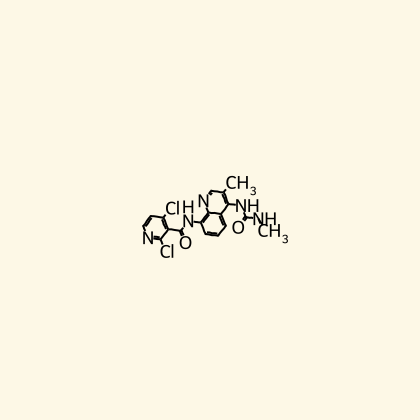 CNC(=O)Nc1c(C)cnc2c(NC(=O)c3c(Cl)ccnc3Cl)cccc12